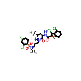 CC(C)C[C@H](NC(=O)c1sc2cccc(Cl)c2c1Cl)C(=O)NCCCN(C)S(=O)(=O)c1ccc(F)cc1Cl